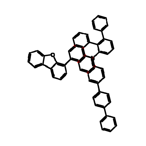 c1ccc(-c2ccc(-c3ccc(N(c4cccc(-c5cccc6c5oc5ccccc56)c4)c4cccc(-c5ccccc5)c4-c4ccccc4-c4ccccc4)cc3)cc2)cc1